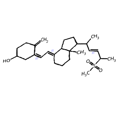 C=C1CCC(O)C/C1=C/C=C1\CCCC2(C)C1CCC2C(C)/C=C/C(C)S(C)(=O)=O